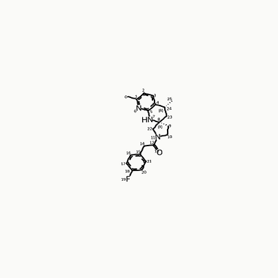 Cc1ccc2c(n1)N[C@@]1(CCN(C(=O)Cc3ccc(F)cc3)C1)C[C@H]2C